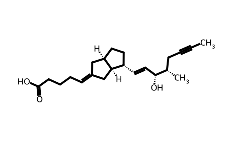 CC#CC[C@H](C)[C@H](O)/C=C/[C@H]1CC[C@@H]2C/C(=C\CCCC(=O)O)C[C@@H]21